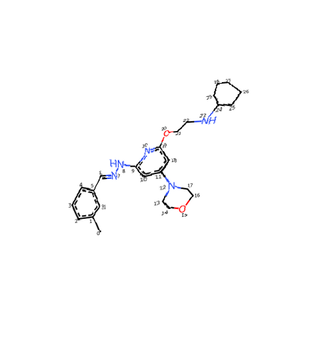 Cc1cccc(C=NNc2cc(N3CCOCC3)cc(OCCNC3CCCCC3)n2)c1